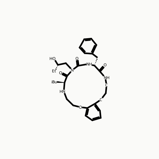 CCC(C)[C@@H]1NCCOc2ccccc2CCCNC(=O)[C@@H](Cc2ccccc2)NC(=O)N(C[C@@H](O)CC)C1=O